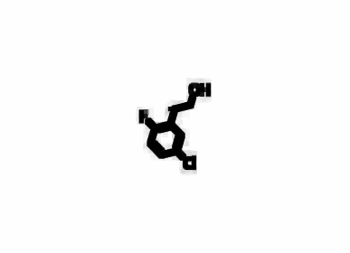 OC[CH]c1cc(Cl)ccc1F